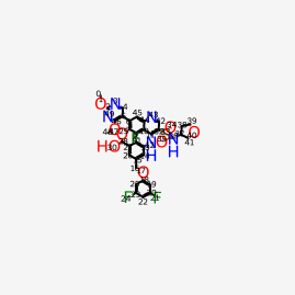 COc1ncc(-c2cc(F)c3c(Nc4cc(COc5cc(F)cc(F)c5)cc(C(=O)O)c4)c(S(=O)(=O)NC4CCOC4)cnc3c2)c(OC)n1